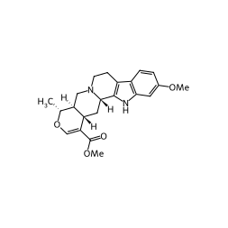 COC(=O)C1=CO[C@H](C)[C@H]2CN3CCc4c([nH]c5cc(OC)ccc45)[C@@H]3C[C@H]12